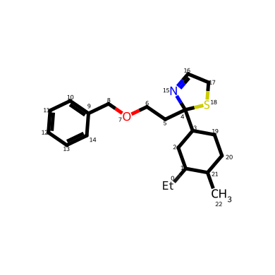 CCC1CC(C2(CCOCc3ccccc3)N=CCS2)CCC1C